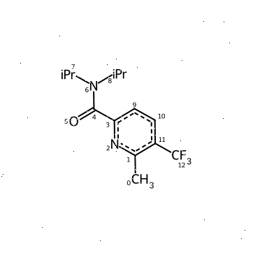 Cc1nc(C(=O)N(C(C)C)C(C)C)ccc1C(F)(F)F